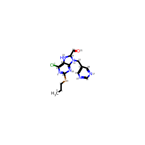 CCCSc1nc(Cl)c2c(n1)N(Cc1cncnc1)C(C=O)N2